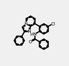 O=C(Nc1ccc(Cl)cc1-c1cccn2cc(-c3ccccc3)nc12)c1ccccc1